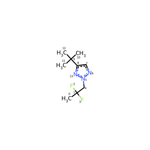 CC(F)(F)Cn1ncc(C(C)(C)C)n1